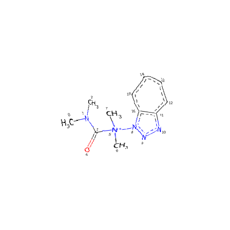 CN(C)C(=O)[N+](C)(C)n1nnc2ccccc21